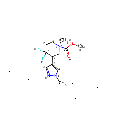 Cn1cc(C2C[N+](C)(C(=O)OC(C)(C)C)CCC2(F)F)cn1